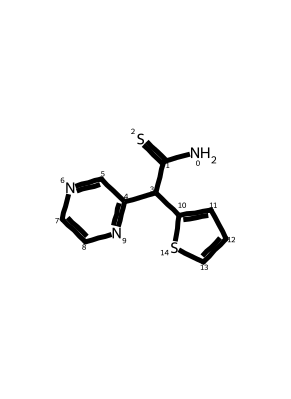 NC(=S)C(c1cnccn1)c1cccs1